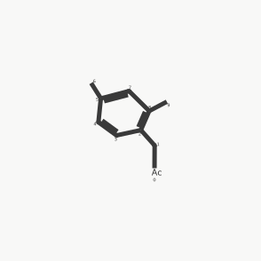 CC(=O)Cc1ccc(C)cc1C